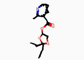 CCC1(CC)OCC(OC(=O)c2cccnc2C)O1